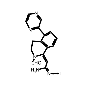 CC/N=C(N)\C=C1\c2cccc(-c3cnccn3)c2CCN1C=O